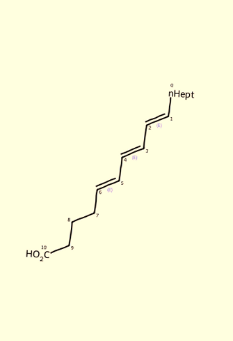 CCCCCCC/C=C/C=C/C=C/CCCC(=O)O